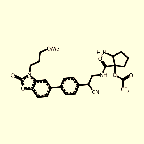 COCCCn1c(=O)oc2ccc(-c3ccc(C(C#N)CNC(=O)C4(OC(=O)C(F)(F)F)CCCC4N)cc3)cc21